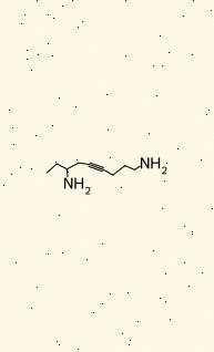 CCC(N)CC#CCCCN